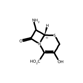 NC1C(=O)N2C(C(=O)O)=C(O)CS[C@@H]12